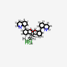 CC1=Cc2c(-c3cccc4cccnc34)cccc2[CH]1[Zr]([CH3])([CH3])(=[SiH2])[CH]1C(C)=Cc2c(-c3cccc4cccnc34)cccc21.Cl.Cl